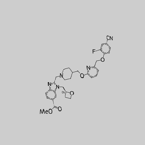 COC(=O)c1ccc2nc(CN3CCC(COc4cccc(COc5ccc(C#N)cc5F)n4)CC3)n(C[C@@H]3CCO3)c2c1